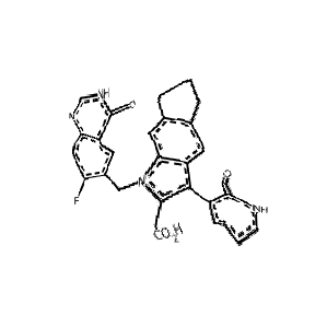 O=C(O)c1c(-c2ccc[nH]c2=O)c2cc3c(cc2n1Cc1cc2c(=O)[nH]cnc2cc1F)CCC3